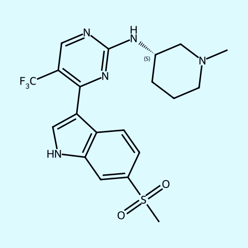 CN1CCC[C@H](Nc2ncc(C(F)(F)F)c(-c3c[nH]c4cc(S(C)(=O)=O)ccc34)n2)C1